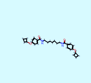 O=C(NCCCCCCCNC(=O)c1ccc(OC2CCC2)cc1)c1ccc(OC2CCC2)cc1